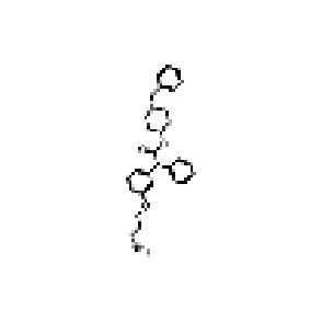 NCCCOc1cccc(C(C(=O)OC2CCN(Cc3ccccc3)CC2)c2ccccc2)c1